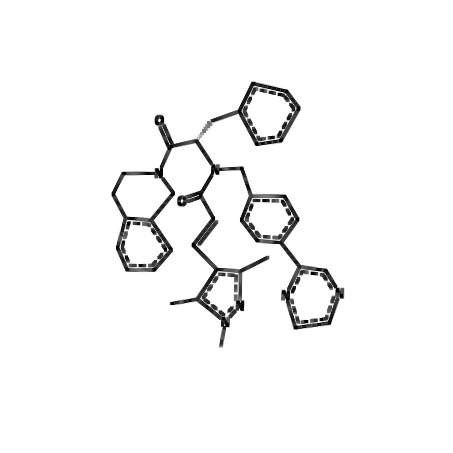 Cc1nn(C)c(C)c1/C=C/C(=O)N(Cc1ccc(-c2cnccn2)cc1)[C@@H](Cc1ccccc1)C(=O)N1CCc2ccccc2C1